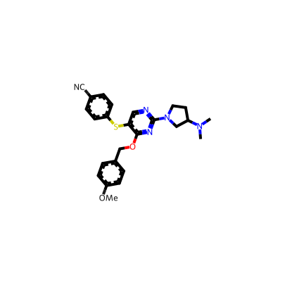 COc1ccc(COc2nc(N3CCC(N(C)C)C3)ncc2Sc2ccc(C#N)cc2)cc1